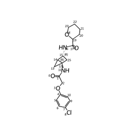 O=C(COc1ccc(Cl)cc1)N[C@@]12CC1[C@H](NC(=O)C1CCCCO1)C2